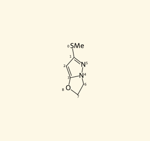 CSc1cc2n(n1)CCO2